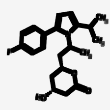 CC(C)c1ccc(-c2ccc(F)cc2)n1C(C)C[C@@H]1C[C@@H](O)CC(=O)O1